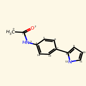 CC(=O)Nc1ccc(C2=CC=C[N]2)cc1